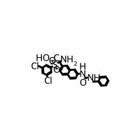 NC(C(=O)O)(c1ccc2ccc(NC(=O)NCc3ccccc3)cc2c1)S(=O)(=O)c1cc(Cl)cc(Cl)c1